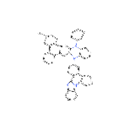 CC(C)(C)c1ccc2c(c1)c1ccccc1c1cc3c(cc21)N(c1ccccc1)c1ccccc1N3c1ccc2c(c1)c1ccccc1n1c3ccccc3nc21